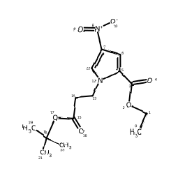 CCOC(=O)c1cc([N+](=O)[O-])cn1CCC(=O)OC(C)(C)C